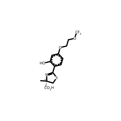 C[C@]1(C(=O)O)CSC(c2ccc(OCCOC(F)(F)F)cc2O)=N1